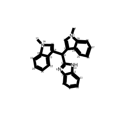 Cn1cc(C(c2nc3ccccc3[nH]2)c2cn(C)c3ccccc23)c2ccccc21